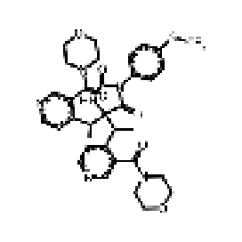 CC(c1ccncc1C(=O)N1CCOCC1)C1(C(C)c2ccncc2C(=O)N2CCOCC2)NC(=O)N(c2ccc(SC(F)(F)F)cc2)C1=O